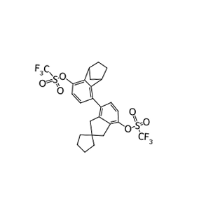 O=S(=O)(Oc1ccc(-c2ccc(OS(=O)(=O)C(F)(F)F)c3c2C2CCC3C2)c2c1CC1(CCCC1)C2)C(F)(F)F